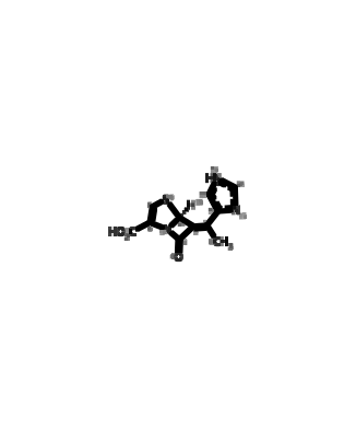 C/C(=C1\C(=O)N2C(C(=O)O)=CS[C@@H]12)c1c[nH]cn1